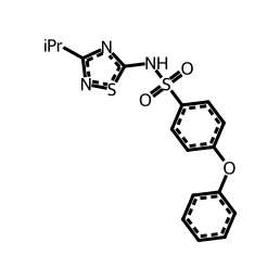 CC(C)c1nsc(NS(=O)(=O)c2ccc(Oc3ccccc3)cc2)n1